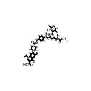 CCn1cc(C(=O)O)c(=O)c2cc(F)c(N3CCN(C(=O)OCc4ccc(NC[C@H](CCCNC(N)=O)NC[C@@H](NC(C)=O)C(C)C)cc4)CC3)cc21